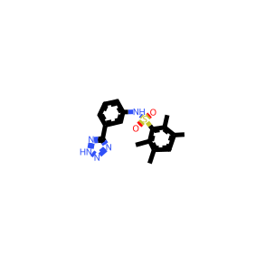 Cc1cc(C)c(C)c(S(=O)(=O)Nc2cccc(-c3nn[nH]n3)c2)c1C